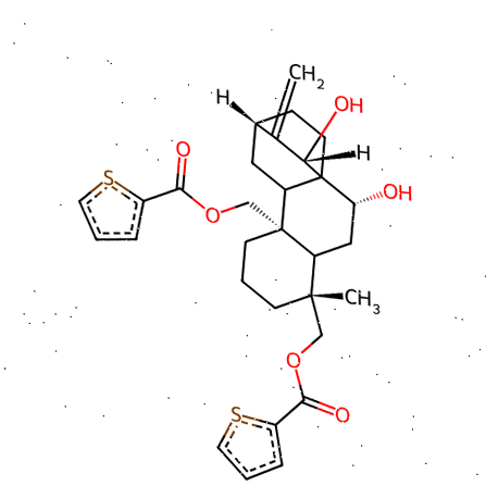 C=C1[C@H]2CCC3(C(C2)[C@]2(COC(=O)c4cccs4)CCC[C@@](C)(COC(=O)c4cccs4)C2C[C@H]3O)[C@H]1O